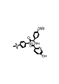 COc1ccc(C(NC(=O)c2ccc(O)cn2)C(=O)Nc2ccc([Si](C)(C)C)cc2)cc1